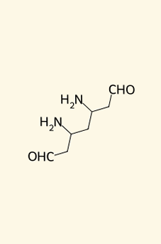 NC(CC=O)CC(N)CC=O